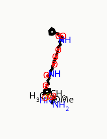 COC(=O)C(CN)NS(=O)(=O)c1c(C)cc(OCCCC(=O)NCCCOCCOCCOCCCNC(=O)OCc2ccccc2)cc1C